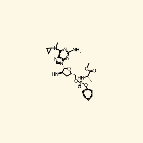 COC(=O)[C@H](C)N[P@@](=O)(OC[C@@H]1CC(=N)[C@H](n2cnc3c(N(C)C4CC4)nc(N)nc32)O1)Oc1ccccc1